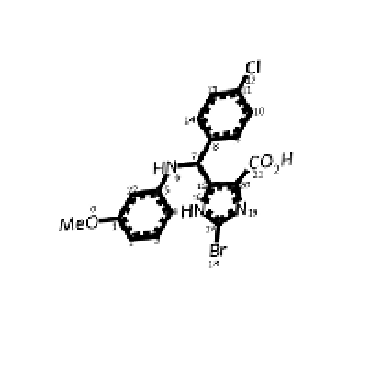 COc1cccc(NC(c2ccc(Cl)cc2)c2[nH]c(Br)nc2C(=O)O)c1